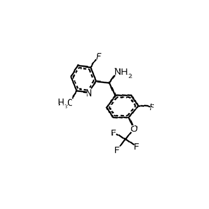 Cc1ccc(F)c(C(N)c2ccc(OC(F)(F)F)c(F)c2)n1